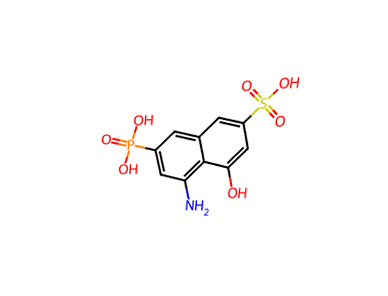 Nc1cc(P(=O)(O)O)cc2cc(S(=O)(=O)O)cc(O)c12